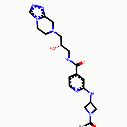 CC(=O)N1CC(Nc2cc(C(=O)NC[C@H](O)CN3CCn4cnnc4C3)ccn2)C1